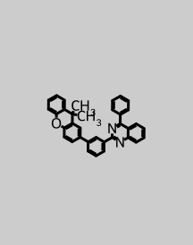 CC1(C)c2ccccc2Oc2ccc(-c3cccc(-c4nc(-c5ccccc5)c5ccccc5n4)c3)cc21